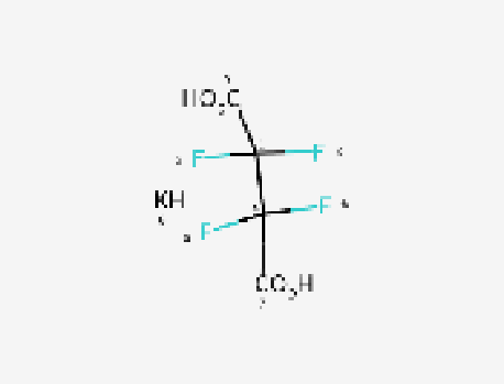 O=C(O)C(F)(F)C(F)(F)C(=O)O.[KH]